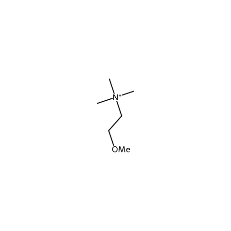 C[N+](C)(C)CCO[14CH3]